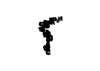 Cc1c(Cl)cccc1OCCOC(=O)N1CCSc2c(-c3cnn(Cc4cccc(C(=O)NCCS(=O)(=O)O)c4Cl)c3)cccc21